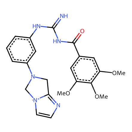 COc1cc(C(=O)NC(=N)Nc2cccc(N3CC4=NC=C[N+]4C3)c2)cc(OC)c1OC